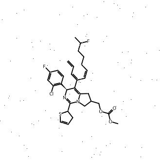 C=C/C=C(\C=C/CCCC(C)F)C1=C2CC(COC(=O)OC)CN2C(C2CC=CS2)=N[C@H]1c1ccc(F)cc1Cl